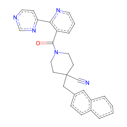 N#CC1(Cc2ccc3ccccc3c2)CCN(C(=O)c2cccnc2-c2ccncn2)CC1